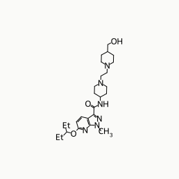 CCC(CC)Oc1ccc2c(C(=O)NC3CCN(CCN4CCC(CO)CC4)CC3)nn(C)c2n1